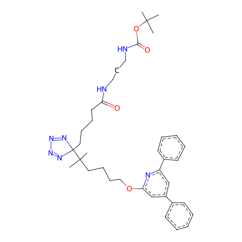 CC(C)(C)OC(=O)NCCCNC(=O)CCCCC1(C(C)(C)CCCCOc2cc(-c3ccccc3)cc(-c3ccccc3)n2)N=NN=N1